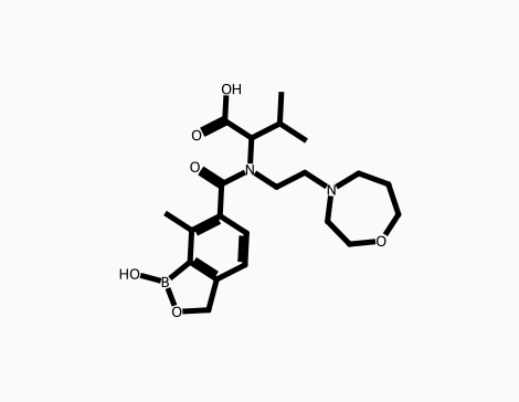 Cc1c(C(=O)N(CCN2CCCOCC2)C(C(=O)O)C(C)C)ccc2c1B(O)OC2